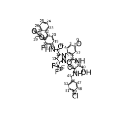 COc1ccc(-n2nc(C(F)(F)F)cc2C(=O)Nc2ccc(-c3ccccc3S(C)(=O)=O)cc2F)c(C(=O)N[C@@H](CO)C(=O)NCc2ccc(Cl)cc2)c1